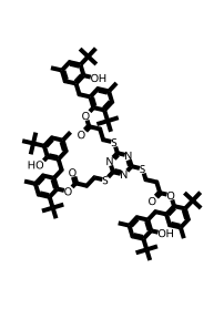 Cc1cc(Cc2cc(C)cc(C(C)(C)C)c2OC(=O)CCSc2nc(SCCC(=O)Oc3c(Cc4cc(C)cc(C(C)(C)C)c4O)cc(C)cc3C(C)(C)C)nc(SCCC(=O)Oc3c(Cc4cc(C)cc(C(C)(C)C)c4O)cc(C)cc3C(C)(C)C)n2)c(O)c(C(C)(C)C)c1